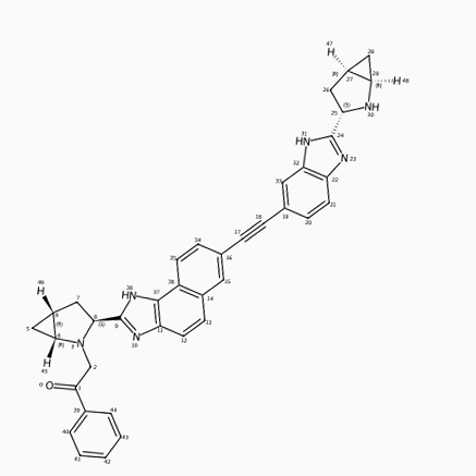 O=C(CN1[C@@H]2C[C@@H]2C[C@H]1c1nc2ccc3cc(C#Cc4ccc5nc([C@@H]6C[C@H]7C[C@H]7N6)[nH]c5c4)ccc3c2[nH]1)c1ccccc1